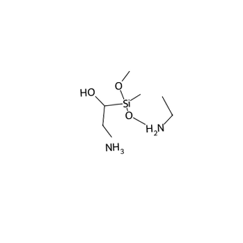 CCC(O)[Si](C)(OC)OC.CCN.N